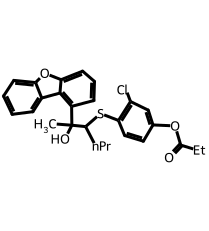 CCCC(Sc1ccc(OC(=O)CC)cc1Cl)C(C)(O)c1cccc2oc3ccccc3c12